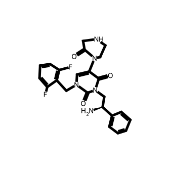 N[C@@H](Cn1c(=O)c(N2CCNCC2=O)cn(Cc2c(F)cccc2F)c1=O)c1ccccc1